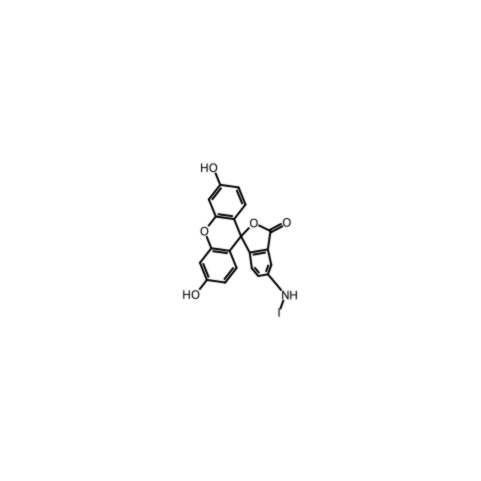 O=C1OC2(c3ccc(O)cc3Oc3cc(O)ccc32)c2ccc(NI)cc21